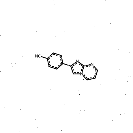 N#Cc1ccc(-c2cn3cccnc3n2)cc1